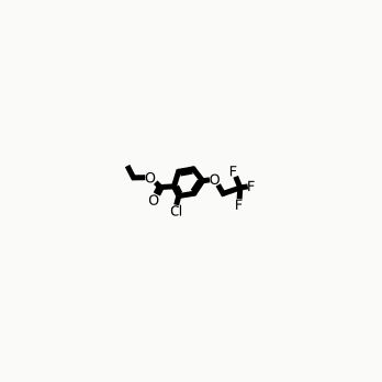 CCOC(=O)c1ccc(OCC(F)(F)F)cc1Cl